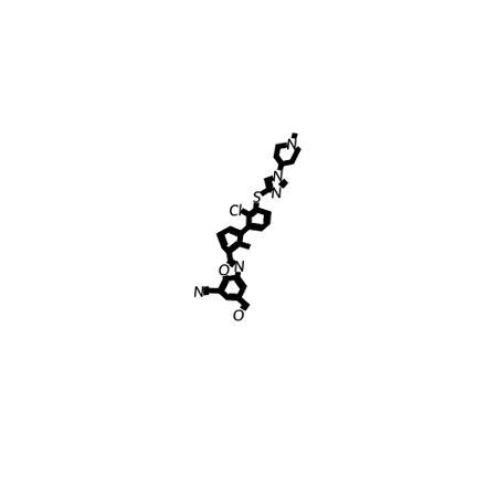 Cc1c(-c2nc3cc(C=O)cc(C#N)c3o2)cccc1-c1cccc(Sc2cn(C3CCN(C)CC3)cn2)c1Cl